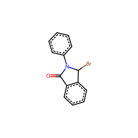 O=C1c2ccccc2C(Br)N1c1ccccc1